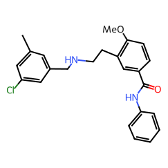 COc1ccc(C(=O)Nc2ccccc2)cc1CCNCc1cc(C)cc(Cl)c1